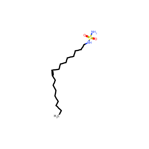 CCCCCCCC/C=C\CCCCCCCCNS(N)(=O)=O